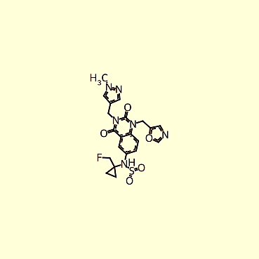 Cn1cc(Cn2c(=O)c3cc(N([SH](=O)=O)C4(CF)CC4)ccc3n(Cc3cnco3)c2=O)cn1